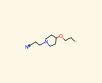 [CH2]CCOC1CCN(CCC#N)CC1